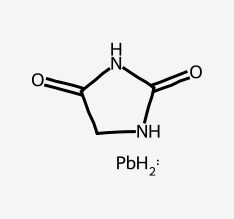 O=C1CNC(=O)N1.[PbH2]